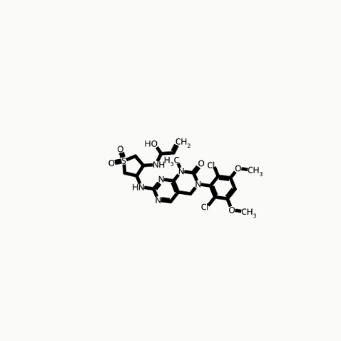 C=CC(O)NC1CS(=O)(=O)CC1Nc1ncc2c(n1)N(C)C(=O)N(c1c(Cl)c(OC)cc(OC)c1Cl)C2